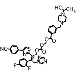 CC(O)N1CCN(Cc2cccc(C(=O)OCOC(=O)OC[C@H](c3nc(-c4ccc(C#N)cc4)cs3)[C@@H](Cn3cncn3)c3ccc(F)cc3F)c2)CC1